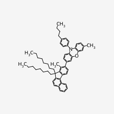 CCCCCCCCC1(CCCCCCCC)c2ccc3ccccc3c2-c2ccc(-c3ccc4c(c3)Oc3cc(C)ccc3N4c3ccc(CCCC)cc3)c(C)c21